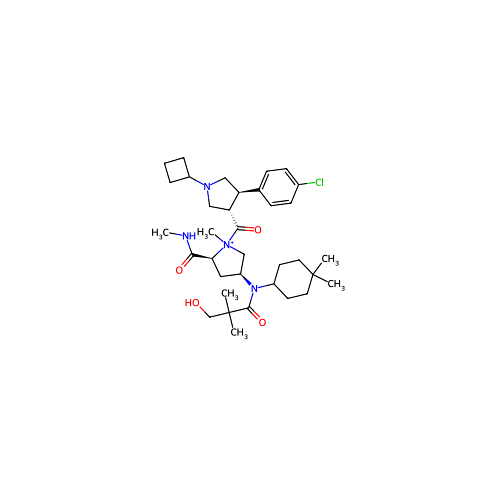 CNC(=O)[C@@H]1C[C@H](N(C(=O)C(C)(C)CO)C2CCC(C)(C)CC2)C[N+]1(C)C(=O)[C@@H]1CN(C2CCC2)C[C@H]1c1ccc(Cl)cc1